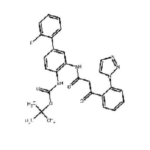 CC(C)(C)OC(=O)Nc1ccc(-c2ccccc2F)cc1NC(=O)CC(=O)c1ccccc1-n1ccnn1